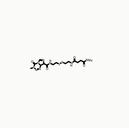 CNC(=O)CCC(=O)NCCSSCCNC(=O)C1N=CN2C(=O)N(C)N=NC12